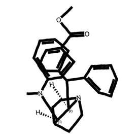 COC(=O)c1ccc(N(C)[C@@H]2C3CCN(CC3)[C@@H]2C(c2ccccc2)c2ccccc2)cc1